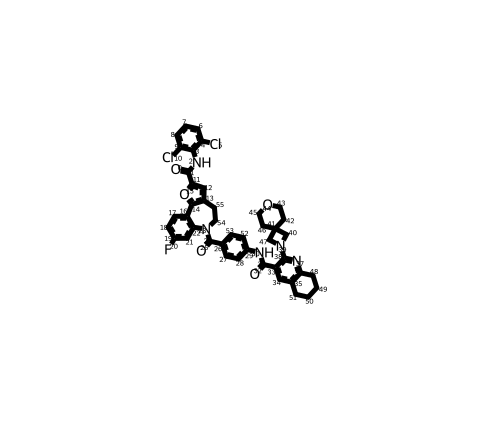 O=C(Nc1c(Cl)cccc1Cl)c1cc2c(o1)-c1ccc(F)cc1N(C(=O)c1ccc(NC(=O)c3cc4c(nc3N3CC5(CCOCC5)C3)CCCC4)cc1)CC2